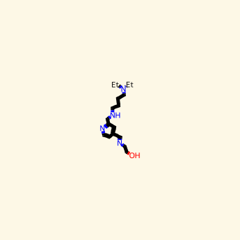 CCN(CC)CCCCNCc1cc(C=NCCO)ccn1